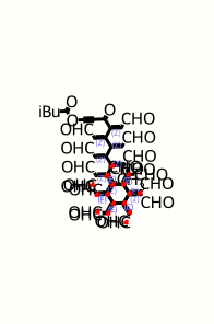 CCC(C)C(=O)OC#CC(=O)C(=C\C=O)/C(=C\C=O)C(=C\C=O)/C(=C\C=O)C(=C\C=O)/C(=C\C=O)C(=C\C=O)/C(=C\C=O)C(=C\C=O)/C(=C/C=O)C(=C/C=O)/C(=C/C=O)C(=C/C=O)/C(=C/C=O)C(=C/C=O)/C(=C/C=O)C(=C/C=O)/C(=C/C=O)C(/C)=C/C=O